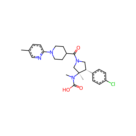 Cc1ccc(N2CCC(C(=O)N3C[C@H](c4ccc(Cl)cc4)[C@@](C)(N(C)C(=O)O)C3)CC2)nc1